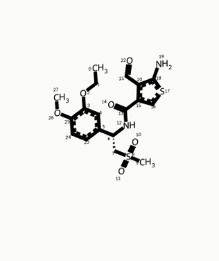 CCOc1cc([C@@H](CS(C)(=O)=O)NC(=O)c2csc(N)c2C=O)ccc1OC